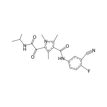 Cc1c(C(=O)Nc2ccc(F)c(C#N)c2)c(C)n(C)c1C(=O)C(=O)NC(C)C